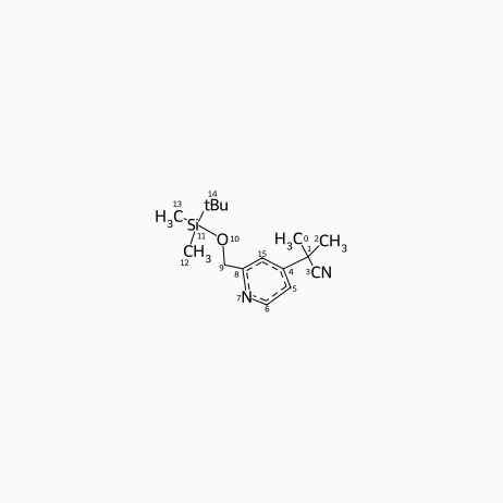 CC(C)(C#N)c1ccnc(CO[Si](C)(C)C(C)(C)C)c1